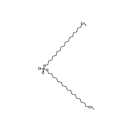 CCCCCCCCCCCCCCCCCCOP(=O)(Cl)OCCCCCCCCCCCCCCCCCC